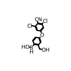 N#Cc1c(Cl)cc(Oc2ccc(BO)c(CO)c2)cc1Cl